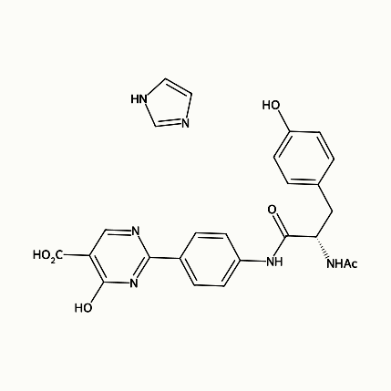 CC(=O)N[C@@H](Cc1ccc(O)cc1)C(=O)Nc1ccc(-c2ncc(C(=O)O)c(O)n2)cc1.c1c[nH]cn1